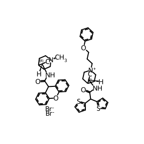 C[N+]12CCC(CC1)[C@@H](NC(=O)C1c3ccccc3Oc3ccccc31)C2.O=C(N[C@H]1C[N+]2(CCCOc3ccccc3)CCC1CC2)C(c1cccs1)c1cccs1.[Br-].[Br-]